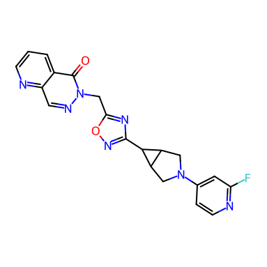 O=c1c2cccnc2cnn1Cc1nc(C2C3CN(c4ccnc(F)c4)CC32)no1